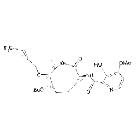 COc1ccnc(C(=O)N[C@H]2CCC[C@H](OCC(C)C)[C@@H](OC/C=C/C(F)(F)F)[C@H](C)OC2=O)c1O